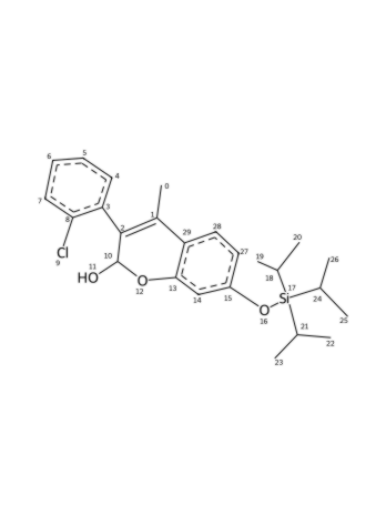 CC1=C(c2ccccc2Cl)C(O)Oc2cc(O[Si](C(C)C)(C(C)C)C(C)C)ccc21